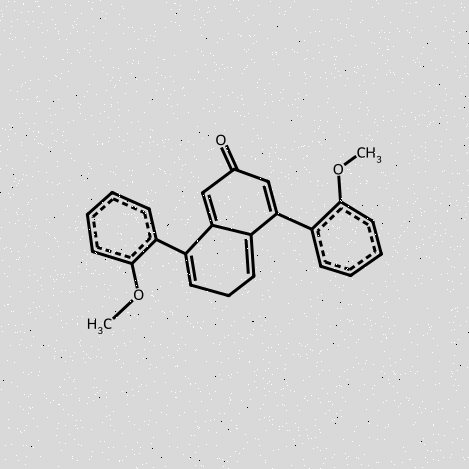 COc1ccccc1C1=CCC=C2C1=CC(=O)C=C2c1ccccc1OC